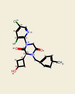 Cc1ccc(CN2C(=O)CN(c3ncc(Cl)cc3F)C(=O)[C@@H]2C2CC(O)C2)cc1